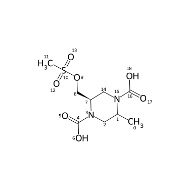 CC1CN(C(=O)O)[C@@H](COS(C)(=O)=O)CN1C(=O)O